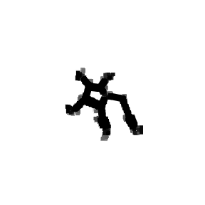 C#CCn1c(Br)c(Br)c(Br)c1C#N